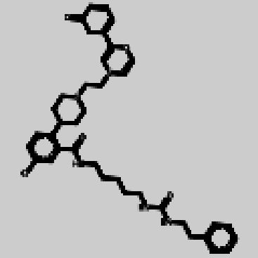 O=C1C=CC=C(C2=CN(CCN3CCC(c4ccc(Cl)cc4C(=O)NCCCCCNC(=O)NCCc4ccccc4)CC3)C=CO2)C1